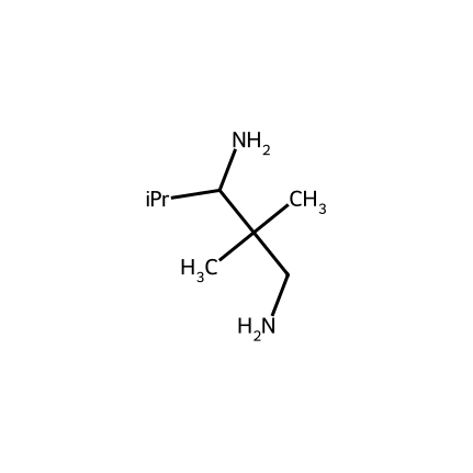 CC(C)C(N)C(C)(C)CN